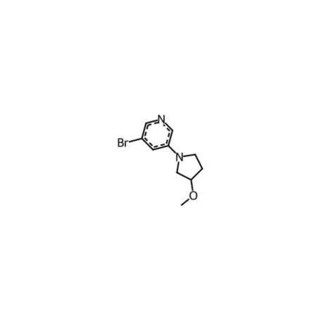 COC1CCN(c2cncc(Br)c2)C1